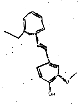 CCc1ccccc1C=Cc1ccc(O)c(OC)c1